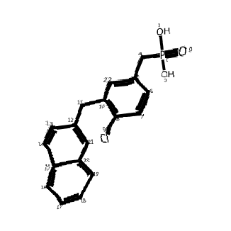 O=P(O)(O)Cc1ccc(Cl)c(Cc2ccc3ccccc3c2)c1